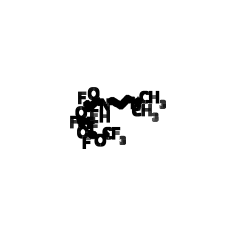 CN(C)CCCNC(=O)C(F)(F)OC(F)(F)OC(F)(F)OC(F)(F)F